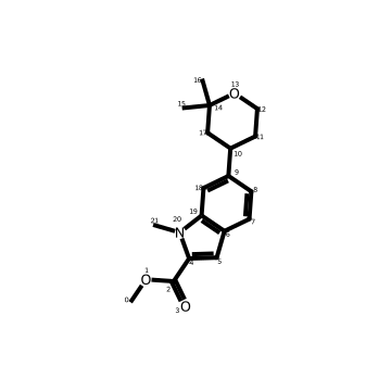 COC(=O)c1cc2ccc(C3CCOC(C)(C)C3)cc2n1C